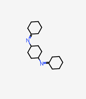 C1CCC(=NC2CCC(N=C3CCCCC3)CC2)CC1